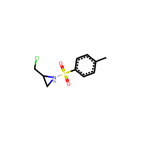 Cc1ccc(S(=O)(=O)[N@]2CC2CCl)cc1